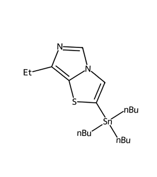 CCC[CH2][Sn]([CH2]CCC)([CH2]CCC)[c]1cn2cnc(CC)c2s1